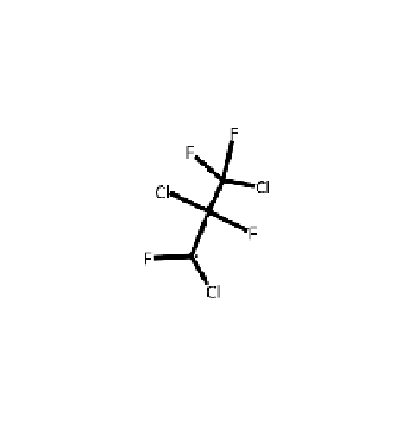 F[C](Cl)C(F)(Cl)C(F)(F)Cl